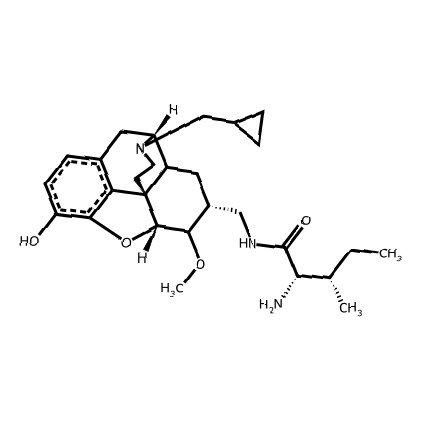 CC[C@H](C)[C@H](N)C(=O)NC[C@H]1CC2[C@H]3Cc4ccc(O)c5c4[C@@]2(CCN3CC2CC2)[C@@H](O5)C1OC